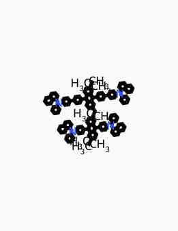 CC(C)(C)c1ccc2c(-c3ccc(N(c4ccccc4)c4cccc5ccccc45)cc3)c3cc(C(C)(C)Cc4ccc5c(-c6ccc(-c7ccc(N(c8ccccc8)c8cccc9ccccc89)cc7)cc6)c6ccc(C(C)(C)C)cc6c(-c6ccc(-c7ccc(N(c8ccccc8)c8cccc9ccccc89)cc7)cc6)c5c4)ccc3c(-c3ccc(N(c4ccccc4)c4cccc5ccccc45)cc3)c2c1